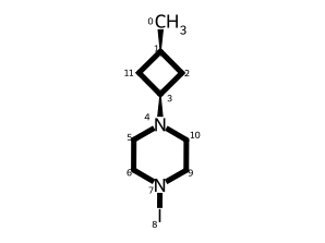 C[C@H]1C[C@@H](N2CCN(I)CC2)C1